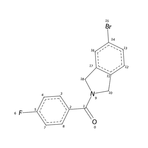 O=C(c1ccc(F)cc1)N1Cc2ccc(Br)cc2C1